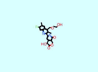 Cc1cc2c(COCCO)c3c(nc2cc1F)-c1cc2c(c(=O)n1C3)COC(=O)[C@H]2O